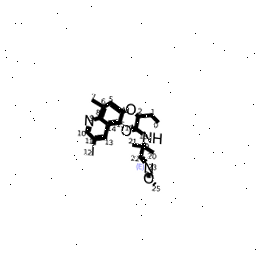 CCC(Oc1cc(C)c2ncc(I)cc2c1)C(=O)NC(C)(C)/C=N/OC